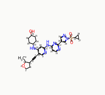 CC1OCCC1C#Cc1cnc(Nc2ccnc(-c3cnn(S(=O)(=O)C4CC4)c3)n2)cc1NC1CCC(O)CC1